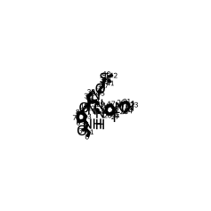 C=CC(=O)Nc1cccc(Oc2nc(Nc3ccc(N4CCN(C)CC4)c(F)c3)nc3c2ccn3COCC[Si](C)(C)C)c1